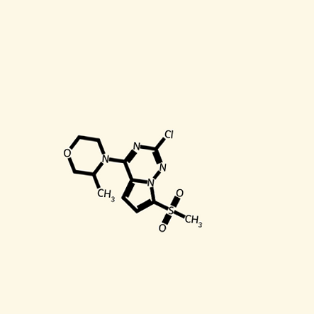 CC1COCCN1c1nc(Cl)nn2c(S(C)(=O)=O)ccc12